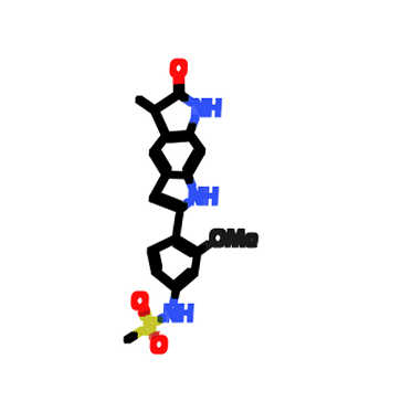 COc1cc(NS(C)(=O)=O)ccc1-c1cc2cc3c(cc2[nH]1)NC(=O)C3C